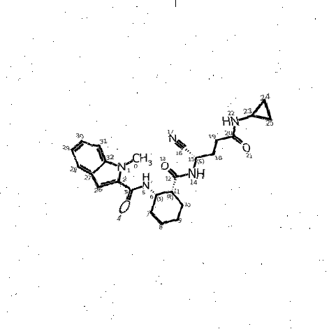 Cn1c(C(=O)N[C@H]2CCCC[C@H]2C(=O)N[C@H](C#N)CCC(=O)NC2CC2)cc2ccccc21